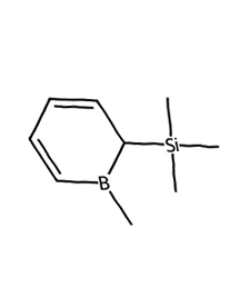 CB1C=CC=CC1[Si](C)(C)C